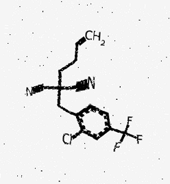 C=CCCC(C#N)(C#N)Cc1ccc(C(F)(F)F)cc1Cl